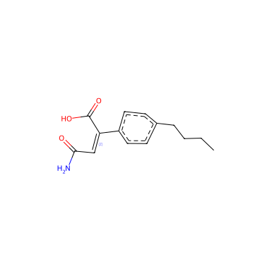 CCCCc1ccc(/C(=C/C(N)=O)C(=O)O)cc1